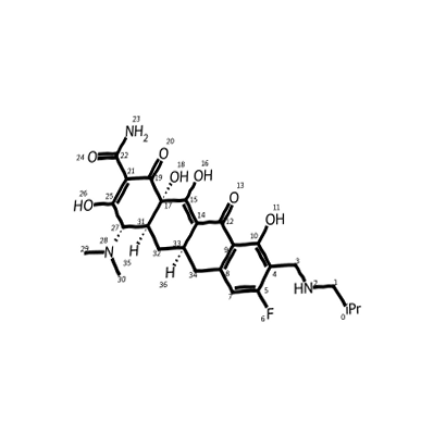 CC(C)CNCc1c(F)cc2c(c1O)C(=O)C1=C(O)[C@]3(O)C(=O)C(C(N)=O)=C(O)[C@@H](N(C)C)[C@@H]3C[C@@H]1C2